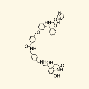 O=C(N[C@@H](c1ccccc1)c1cccc(OCc2ccc(C(=O)NCc3ccc(CNC[C@H](O)c4ccc(O)c5[nH]c(=O)ccc45)cc3)cc2)c1)O[C@H]1CN2CCC1CC2